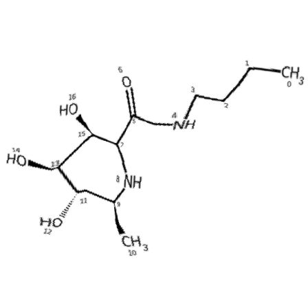 CCCCNC(=O)C1N[C@@H](C)[C@H](O)[C@@H](O)[C@H]1O